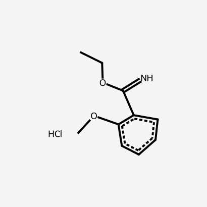 CCOC(=N)c1ccccc1OC.Cl